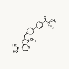 CN(C)C(=O)c1ccc(N2CCN(Cc3cc4c(B(O)O)ccnc4n3C)CC2)cc1